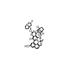 Oc1cc(-c2nc3c4c(nc(OC[C@@]56CCCN5C[C@H](F)C6)nc4c2F)N2C[C@H]4CC[C@H](N4)[C@H]2CO3)c2c(SC(F)(F)F)c(F)ccc2c1